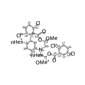 CCCCCCc1ccc(N(CC(OC)OC(=O)c2cc(Cl)ccc2Cl)CC(OC)OC(=O)c2cc(Cl)ccc2Cl)c(CCCCCC)c1